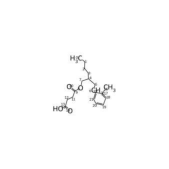 CCCCC(CC)COC(=O)CCC(=O)O.Cc1ccccc1